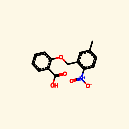 Cc1ccc([N+](=O)[O-])c(COc2ccccc2C(=O)O)c1